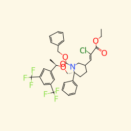 CCOC(=O)/C(Cl)=C/C1CC[C@@](CO[C@H](C)c2cc(C(F)(F)F)cc(C(F)(F)F)c2)(c2ccccc2)N(C(=O)OCc2ccccc2)C1